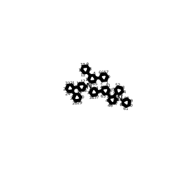 c1ccc(-c2cc(-c3ccccc3)cc(N(c3ccc(-c4ccccc4-c4ccccc4)cc3)c3cccc(-c4cccc(-c5cccc6c5c5ccccc5n6-c5ccccc5)c4)c3)c2)cc1